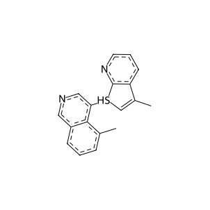 CC1=C[SH](c2cncc3cccc(C)c23)c2ncccc21